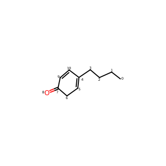 CCCCC1=CCC(=O)C=C1